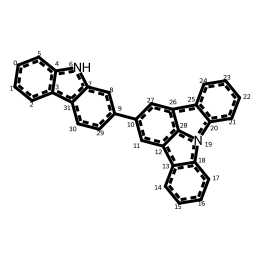 c1ccc2c(c1)[nH]c1cc(-c3cc4c5ccccc5n5c6ccccc6c(c3)c45)ccc12